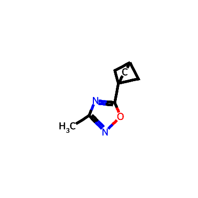 Cc1noc(C23CC(C2)C3)n1